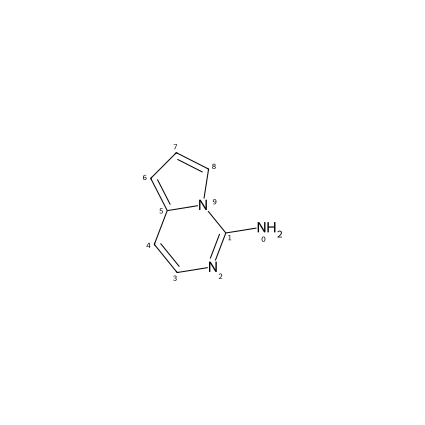 Nc1nccc2cccn12